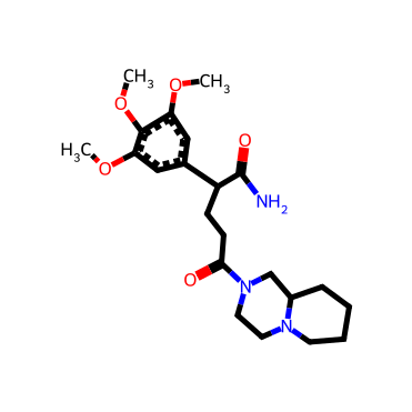 COc1cc(C(CCC(=O)N2CCN3CCCCC3C2)C(N)=O)cc(OC)c1OC